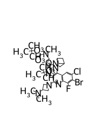 CN(CCc1nc2c(N3CC(N(C)C)C3)nc3c(F)c(Br)c(Cl)cc3c2n1C1C2CC1N(C(=O)OC(C)(C)C)C2)C(=O)OC(C)(C)C